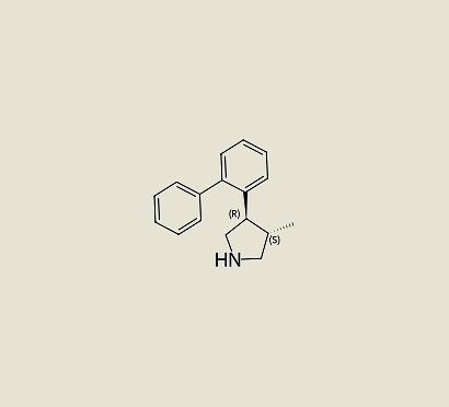 C[C@@H]1CNC[C@H]1c1ccccc1-c1ccccc1